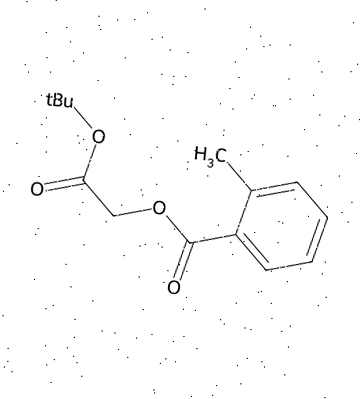 Cc1ccccc1C(=O)OCC(=O)OC(C)(C)C